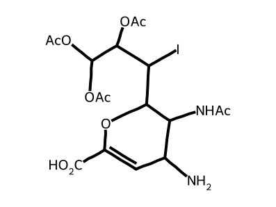 CC(=O)NC1C(N)C=C(C(=O)O)OC1C(I)C(OC(C)=O)C(OC(C)=O)OC(C)=O